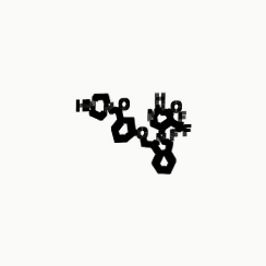 O=C(c1cccc(OCC2c3ccccc3CN2c2cn[nH]c(=O)c2C(F)(F)F)c1)N1CCNCC1